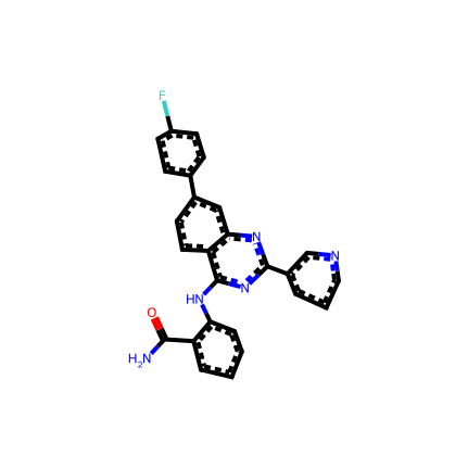 NC(=O)c1ccccc1Nc1nc(-c2cccnc2)nc2cc(-c3ccc(F)cc3)ccc12